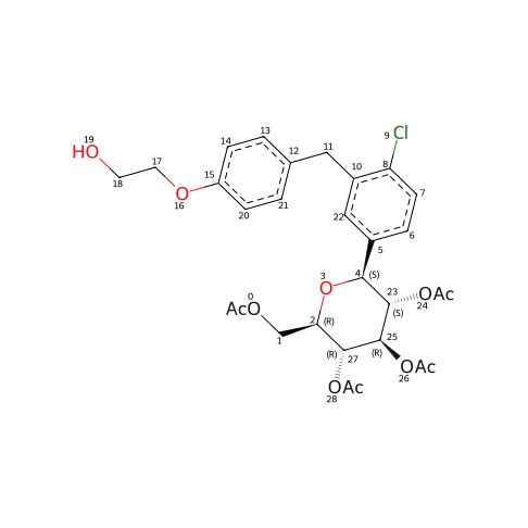 CC(=O)OC[C@H]1O[C@@H](c2ccc(Cl)c(Cc3ccc(OCCO)cc3)c2)[C@H](OC(C)=O)[C@@H](OC(C)=O)[C@@H]1OC(C)=O